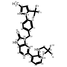 Cc1cc(C(F)(F)F)n(-c2ccc(Cn3c(=O)[nH]c4cnc(-c5cccnc5NCC(F)(F)F)nc43)cc2)n1